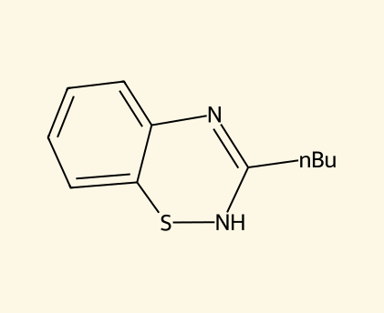 CCCCC1=Nc2ccccc2SN1